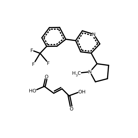 CN1CCCC1c1cncc(-c2cccc(C(F)(F)F)c2)c1.O=C(O)C=CC(=O)O